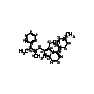 C[C@@H](c1ccccn1)N(C)Cc1nc2cccc(N3CCN(C)CC3)n2c1CO